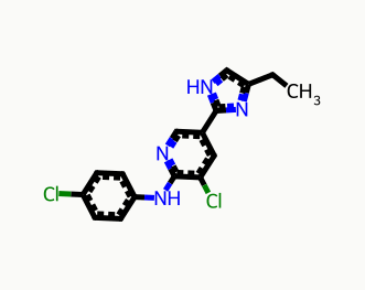 CCc1c[nH]c(-c2cnc(Nc3ccc(Cl)cc3)c(Cl)c2)n1